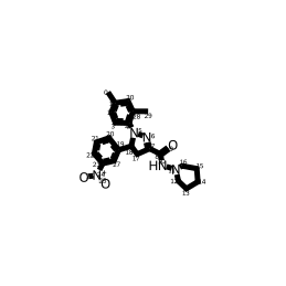 Cc1ccc(N2N=C(C(=O)NN3CCCCC3)CC2c2cccc([N+](=O)[O-])c2)c(C)c1